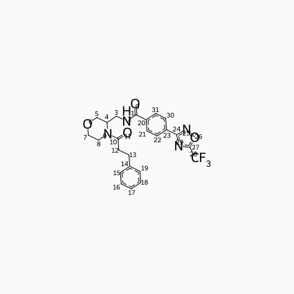 O=C(NCC1COCCN1C(=O)CCc1ccccc1)c1ccc(-c2noc(C(F)(F)F)n2)cc1